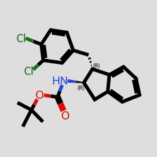 CC(C)(C)OC(=O)N[C@@H]1Cc2ccccc2[C@H]1Cc1ccc(Cl)c(Cl)c1